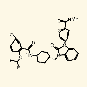 CNC(=O)c1ccc(-n2c(=O)n(C[C@H]3CC[C@H](NC(=O)c4cc(Cl)ccc4OC(F)F)CC3)c3ccccc32)cn1